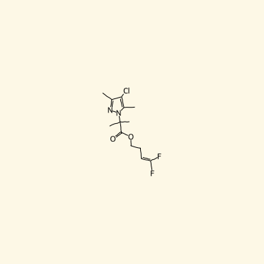 Cc1nn(C(C)(C)C(=O)OCCC=C(F)F)c(C)c1Cl